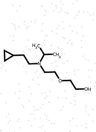 CC(C)N(CCOCCO)CCC1CC1